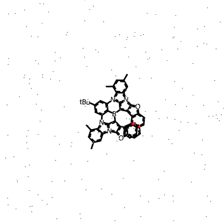 Cc1cc(C)c2c(c1)n1c3oc4ccc5ccccc5c4c3c3c1n2-c1cc(C(C)(C)C)cc2c1B3c1c3c4c(ccc5ccccc54)oc3n3c4cc(C)cc(C)c4n-2c13